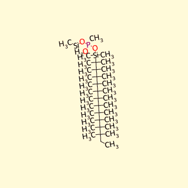 CCC(C)(C)C(C)(C)C(C)(C)C(C)(C)C(C)(C)C(C)(C)C(C)(C)C(C)(C)C(C)(C)C(C)(C)C(C)(C)[Si](C)(C)OP(C)(=O)O[SiH2]C